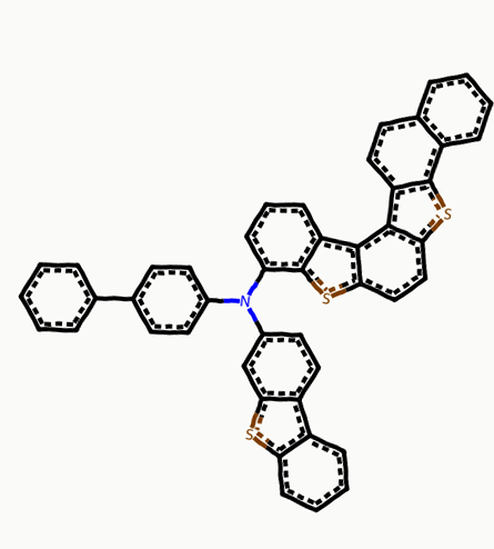 c1ccc(-c2ccc(N(c3ccc4c(c3)sc3ccccc34)c3cccc4c3sc3ccc5sc6c7ccccc7ccc6c5c34)cc2)cc1